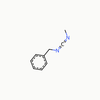 CN=C=NCc1ccccc1